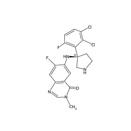 Cn1cnc2cc(F)c(N[C@@]3(c4c(F)ccc(Cl)c4Cl)CCNC3)cc2c1=O